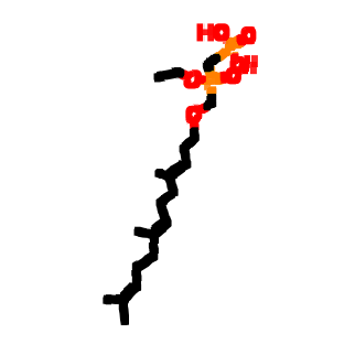 CCOP(=O)(COCC/C=C(\C)CC/C=C(\C)CCC=C(C)C)CP(=O)(O)O